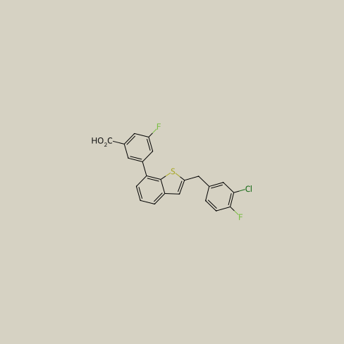 O=C(O)c1cc(F)cc(-c2cccc3cc(Cc4ccc(F)c(Cl)c4)sc23)c1